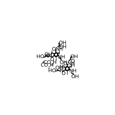 O=C(NCC(O)CO)c1c(I)c(NCCO)c(I)c(C(=O)NCC(O)CO)c1I.O=C(NCC(O)CO)c1c(I)c(NCCO)c(I)c(C(=O)NCC(O)CO)c1I.O=C(O)CC(=O)O